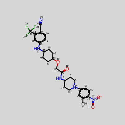 Cc1cc(N2CCC(NC(=O)COC3CCC(Nc4ccc(C#N)c(C(F)(F)F)c4)CC3)CC2)ccc1[N+](=O)[O-]